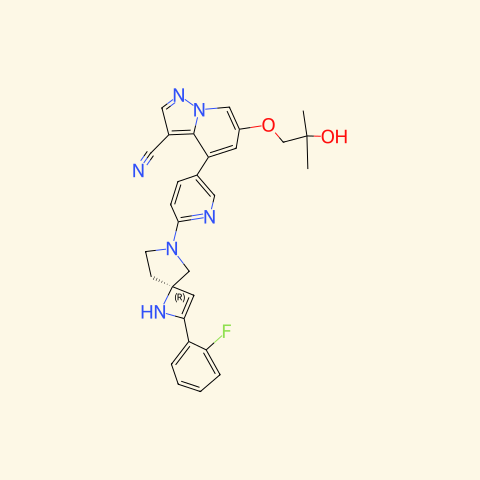 CC(C)(O)COc1cc(-c2ccc(N3CC[C@@]4(C=C(c5ccccc5F)N4)C3)nc2)c2c(C#N)cnn2c1